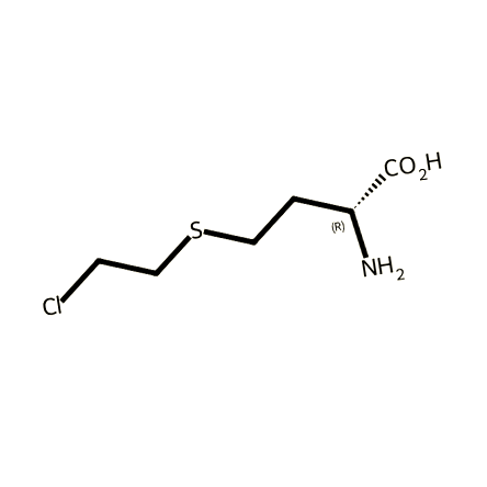 N[C@H](CCSCCCl)C(=O)O